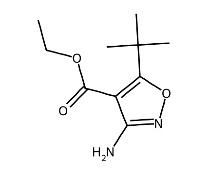 CCOC(=O)c1c(N)noc1C(C)(C)C